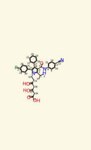 CC(C)c1c(C(=O)Nc2ccc(C#N)cc2)c(-c2ccccc2)c(-c2ccc(F)cc2)n1CC[C@@H](O)C[C@@H](O)CC(=O)O